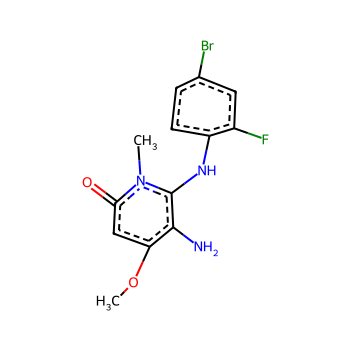 COc1cc(=O)n(C)c(Nc2ccc(Br)cc2F)c1N